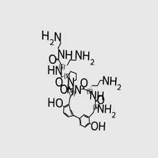 NCCC[C@@H]1NC(=O)[C@@H](N)Cc2cc(ccc2O)-c2ccc(O)c(c2)C[C@@H](C(=O)N2CCC[C@H]2C(=O)N[C@@H](CCCN)C(=O)NCCN)NC1=O